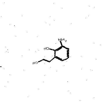 Nc1cccc(CCO)c1O